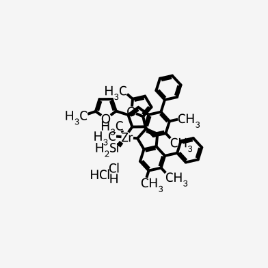 Cc1ccc(C2=Cc3c(cc(C)c(C)c3-c3ccccc3)[CH]2[Zr]([CH3])([CH3])(=[SiH2])[CH]2C(c3ccc(C)o3)=Cc3c2cc(C)c(C)c3-c2ccccc2)o1.Cl.Cl